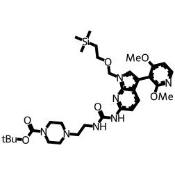 COc1ccnc(OC)c1-c1cn(COCC[Si](C)(C)C)c2nc(NC(=O)NCCN3CCN(C(=O)OC(C)(C)C)CC3)ccc12